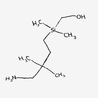 CC(C)(CN)CC[Si](C)(C)CO